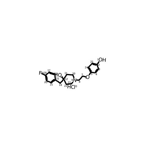 Cl.Oc1ccc(OCCN2CCC(O)(Cc3ccc(F)cc3)CC2)cc1